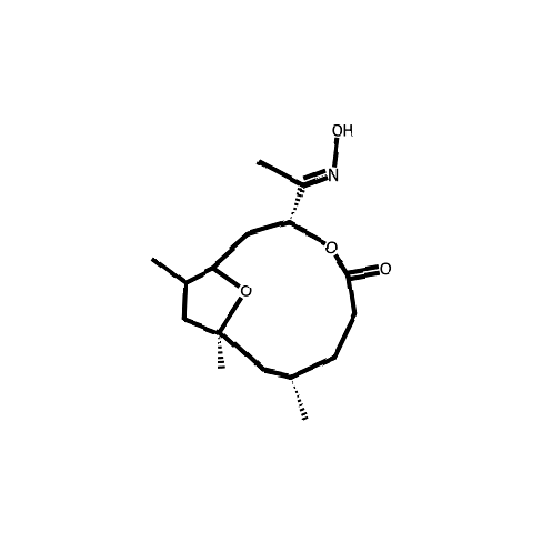 C/C(=N\O)[C@H]1CC2O[C@](C)(CC2C)C[C@@H](C)CCC(=O)O1